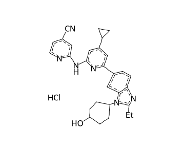 CCc1nc2ccc(-c3cc(C4CC4)cc(Nc4cc(C#N)ccn4)n3)cc2n1C1CCC(O)CC1.Cl